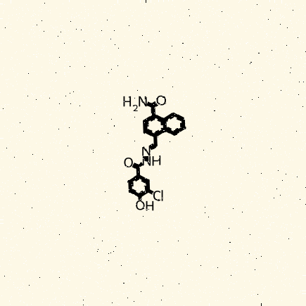 NC(=O)c1ccc(C=NNC(=O)c2ccc(O)c(Cl)c2)c2ccccc12